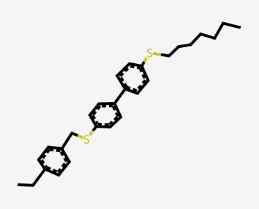 CCCCCCCSc1ccc(-c2ccc(SCc3ccc(CC)cc3)cc2)cc1